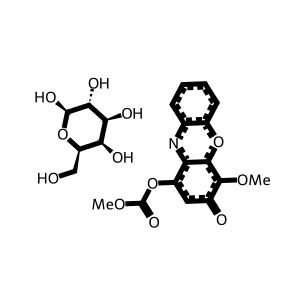 COC(=O)Oc1cc(=O)c(OC)c2oc3ccccc3nc1-2.OC[C@H]1O[C@@H](O)[C@H](O)[C@@H](O)[C@H]1O